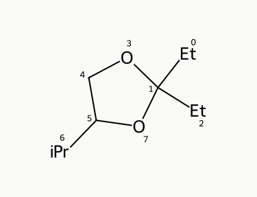 CCC1(CC)OCC(C(C)C)O1